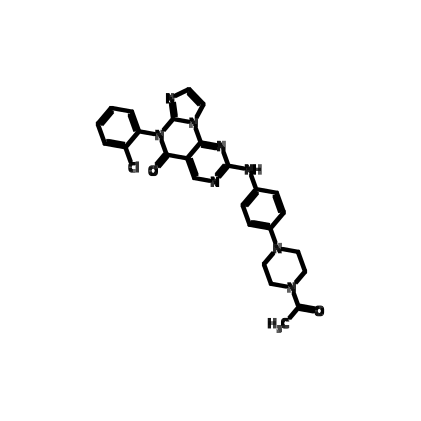 CC(=O)N1CCN(c2ccc(Nc3ncc4c(=O)n(-c5ccccc5Cl)c5nccn5c4n3)cc2)CC1